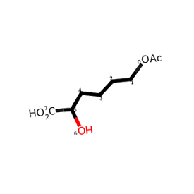 CC(=O)OCCCCC(O)C(=O)O